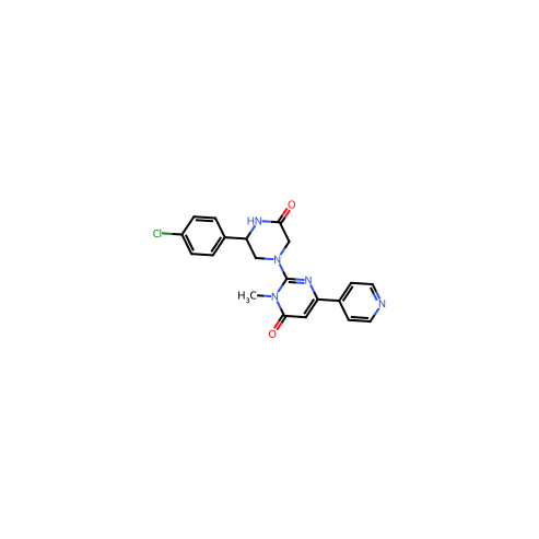 Cn1c(N2CC(=O)NC(c3ccc(Cl)cc3)C2)nc(-c2ccncc2)cc1=O